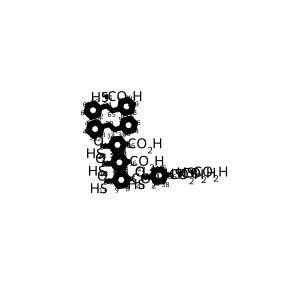 O=C(O)S.O=C(O)S.O=C(O)S.O=C(O)c1ccc(C(=O)S)cc1.O=C(O)c1ccc(C(=O)S)cc1.O=C(O)c1ccc(C(=O)S)cc1.O=C(O)c1ccc(C(=O)S)cc1.c1ccc(CCc2ccccc2)cc1.c1ccc(CCc2ccccc2)cc1